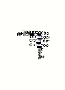 O=C([O-])/C=C\C(=O)[O-].O=C([O-])/C=C\C(=O)[O-].O=C([O-])/C=C\C(=O)[O-].O=C([O-])/C=C\C(=O)[O-].O=C([O-])/C=C\C(=O)[O-].[K+].[K+].[K+].[K+].[O-2].[O-2].[O-2].[O-2].[O-2].[Ti+4].[Ti+4].[Ti+4].[Ti+4]